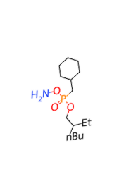 CCCCC(CC)COP(=O)(CC1CCCCC1)ON